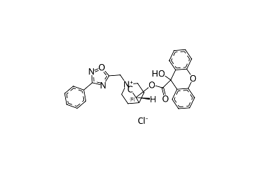 O=C(O[C@H]1C[N+]2(Cc3nc(-c4ccccc4)no3)CCC1CC2)C1(O)c2ccccc2Oc2ccccc21.[Cl-]